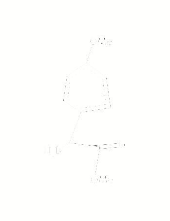 BC(C(=O)OC)c1ccc(OC)cc1